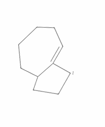 [C]1CCC2CCCCC=C12